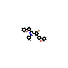 Brc1cc(-c2ccc3oc4ccccc4c3c2)cc(-c2cc(-c3cccc4c3oc3ccccc34)nc(-c3ccccc3)n2)c1